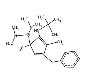 CC1=C(NC(C)(C)C)[C](C)([Zr]([N](C)C)[N](C)C)C=C1Cc1ccccc1